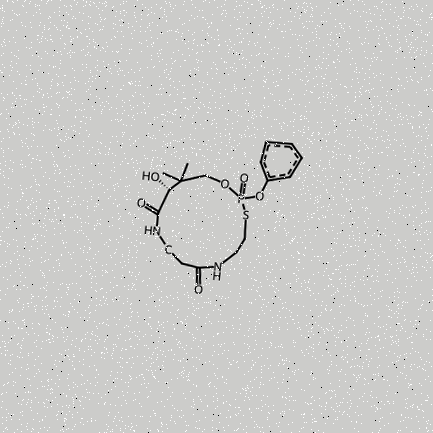 CC1(C)COP(=O)(Oc2ccccc2)SCCNC(=O)CCNC(=O)[C@@H]1O